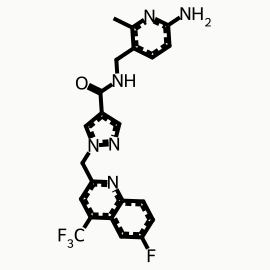 Cc1nc(N)ccc1CNC(=O)c1cnn(Cc2cc(C(F)(F)F)c3cc(F)ccc3n2)c1